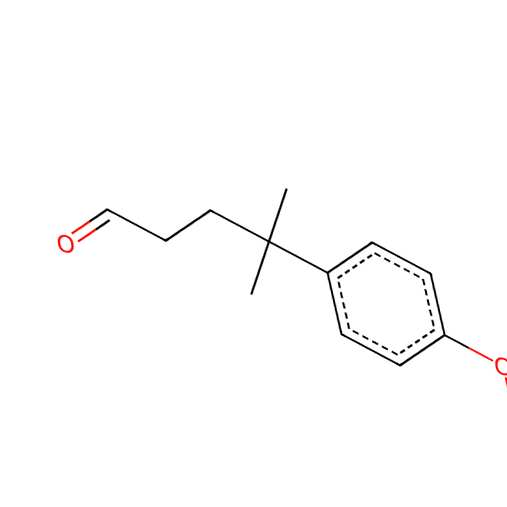 COc1ccc(C(C)(C)CCC=O)cc1